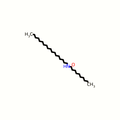 CCCCCCCCCCCCCCCCCCNC(=O)CCCCCCCCC